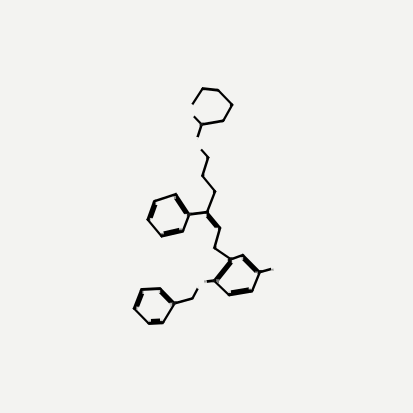 Fc1ccc(OCc2ccccc2)c(CC=C(CCCOC2CCCCO2)c2ccccc2)c1